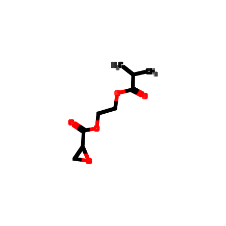 CC(C)C(=O)OCCOC(=O)C1CO1